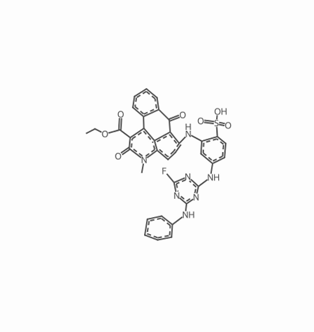 CCOC(=O)c1c2c3c(c(Nc4cc(Nc5nc(F)nc(Nc6ccccc6)n5)ccc4S(=O)(=O)O)ccc3n(C)c1=O)C(=O)c1ccccc1-2